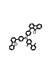 Cc1ccccc1-c1ccc(N(c2ccc(-c3cccc4c3C(=O)c3ccccc3-4)cc2)c2ccc(-c3cccc4c3oc3ccccc34)cc2)cc1C